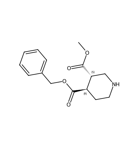 COC(=O)[C@@H]1CNCC[C@H]1C(=O)OCc1ccccc1